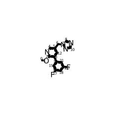 COc1ncc(Cn2cncn2)cc1-c1cc(F)cc(F)c1